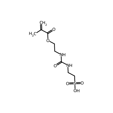 C=C(C)C(=O)OCCNC(=O)NCCS(=O)(=O)O